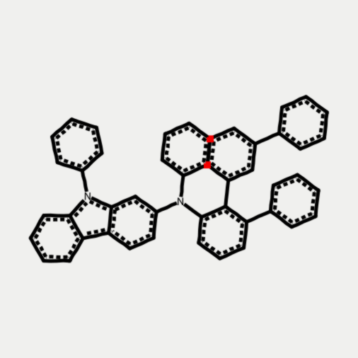 c1ccc(-c2cccc(-c3c(-c4ccccc4)cccc3N(c3ccccc3)c3ccc4c5ccccc5n(-c5ccccc5)c4c3)c2)cc1